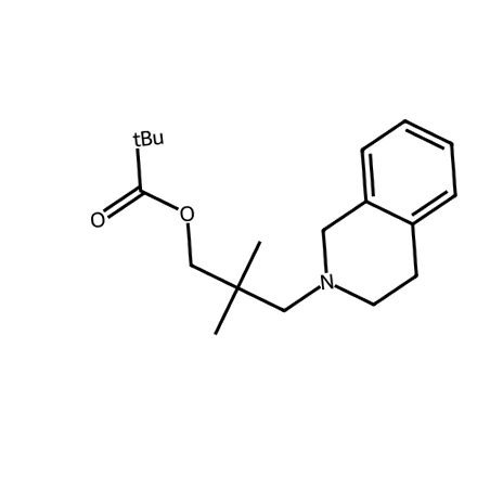 CC(C)(COC(=O)C(C)(C)C)CN1CCc2ccccc2C1